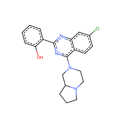 Oc1ccccc1-c1nc(N2CCN3CCCC3C2)c2ccc(Cl)cc2n1